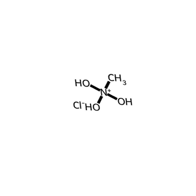 C[N+](O)(O)O.[Cl-]